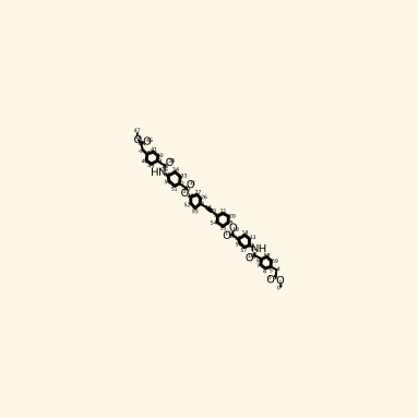 COC(=O)Cc1ccc(C(=O)Nc2ccc(C(=O)Oc3ccc(C#Cc4ccc(OC(=O)c5ccc(NC(=O)c6ccc(CC(=O)OC)cc6)cc5)cc4)cc3)cc2)cc1